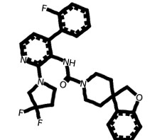 O=C(Nc1c(-c2ccccc2F)ccnc1N1CCC(F)(F)C1)N1CCC2(CC1)COc1ccccc12